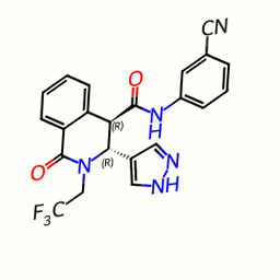 N#Cc1cccc(NC(=O)[C@@H]2c3ccccc3C(=O)N(CC(F)(F)F)[C@H]2c2cn[nH]c2)c1